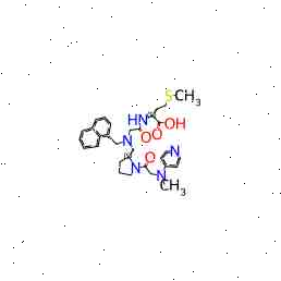 CSCC[C@H](NC(=O)CN(Cc1cccc2ccccc12)C[C@@H]1CCCN1C(=O)CN(C)c1ccncc1)C(=O)O